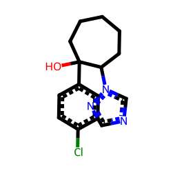 OC1(c2ccc(Cl)cc2)CCCCCC1n1cncn1